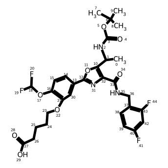 CC(NC(=O)OC(C)(C)C)c1oc(-c2ccc(OC(F)F)c(OCCCCC(=O)O)c2)nc1C(=O)NCc1ccc(F)cc1F